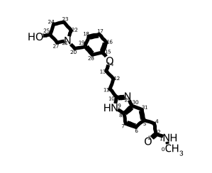 CNC(=O)Cc1ccc2[nH]c(CCCOc3cccc(CN4CCCC(O)C4)c3)nc2c1